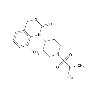 Cc1cccc2c1N(C1CCN(S(=O)(=O)N(C)C)CC1)C(=O)OC2